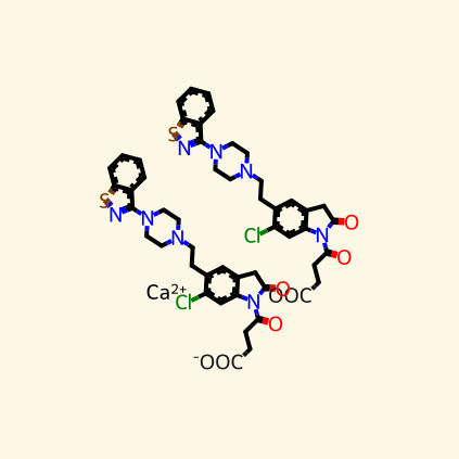 O=C([O-])CCC(=O)N1C(=O)Cc2cc(CCN3CCN(c4nsc5ccccc45)CC3)c(Cl)cc21.O=C([O-])CCC(=O)N1C(=O)Cc2cc(CCN3CCN(c4nsc5ccccc45)CC3)c(Cl)cc21.[Ca+2]